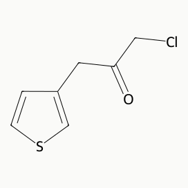 O=C(CCl)Cc1ccsc1